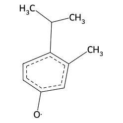 Cc1cc([O])ccc1C(C)C